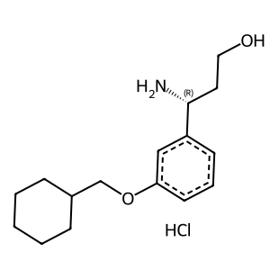 Cl.N[C@H](CCO)c1cccc(OCC2CCCCC2)c1